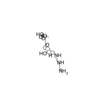 CC(C)C(CC[C@H]1OC2CC3C(C4CCC1[C@@]24C)[C@H](O)C[C@H]1C[C@@H](NCCCNCCCCN)CC[C@]31C)OS(=O)(=O)O